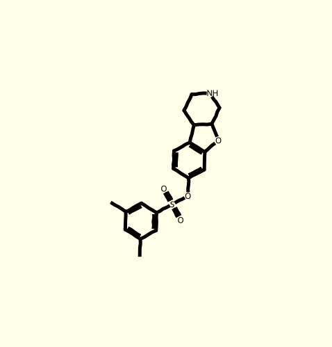 Cc1cc(C)cc(S(=O)(=O)Oc2ccc3c(c2)OC2CNCCC32)c1